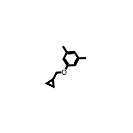 Cc1cc(C)cc(OCC2CC2)c1